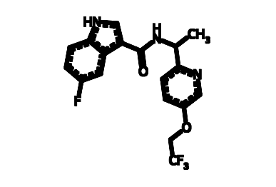 CC(NC(=O)c1c[nH]c2ccc(F)cc12)c1ccc(OCC(F)(F)F)cn1